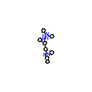 c1ccc(-c2nc(-c3ccccc3)nc(-n3c4ccccc4c4cc(-c5ccc(-c6nc7cc8ccccc8cc7n6-c6ccccc6)cc5)ccc43)n2)cc1